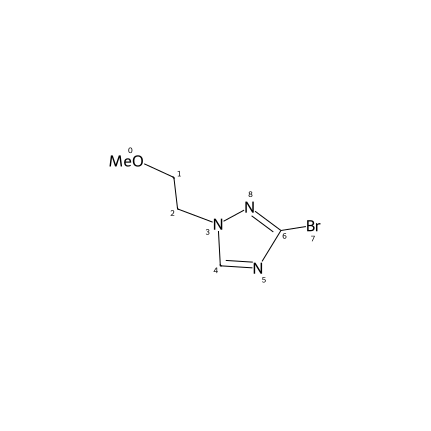 COCCn1cnc(Br)n1